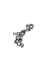 COc1ccc2ncc(Cl)c([C@H](F)CCC3(CO)CCN(CCCSc4ccccc4F)CC3)c2c1